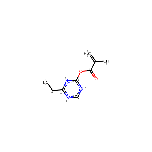 C=C(C)C(=O)Oc1ncnc(CC)n1